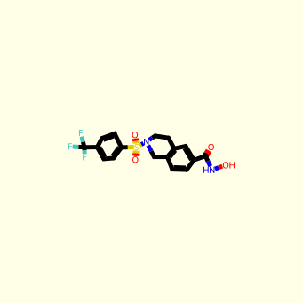 O=C(NO)c1ccc2c(c1)CCN(S(=O)(=O)c1ccc(C(F)(F)F)cc1)C2